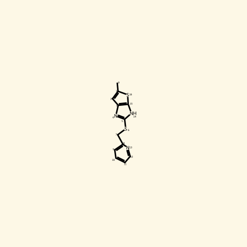 Cc1cc2nc(SCc3ccccn3)[nH]c2s1